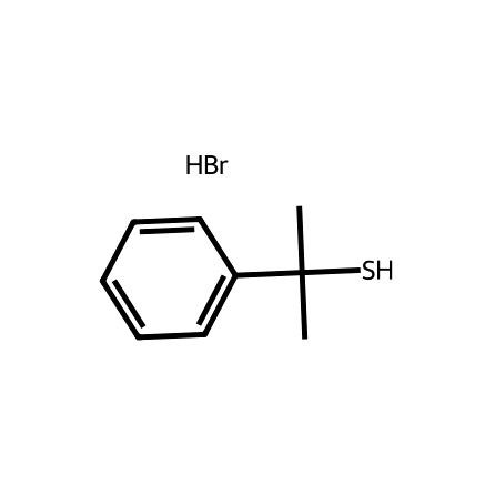 Br.CC(C)(S)c1ccccc1